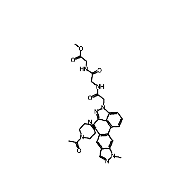 COC(=O)CNC(=O)CNC(=O)Cn1nc(C2CCN(C(C)=O)CC2)c2c(-c3cc4c(cnn4C)cc3C#N)cccc21